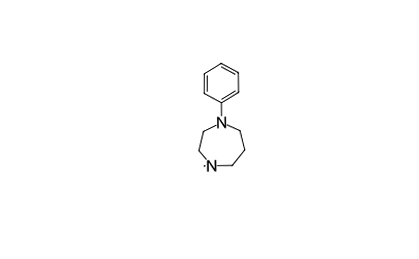 c1ccc(N2CCC[N]CC2)cc1